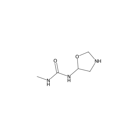 CNC(=O)NC1CNCO1